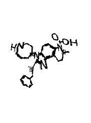 C[C@@H](Cc1ccccc1)c1nc2c3c(ccc2n1[C@@H]1CCCNCC1)N(C(=O)O)[C@@H](C)CC3